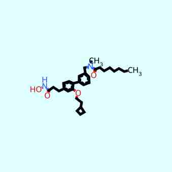 CCCCCCCC(=O)N(C)Cc1cccc(-c2ccc(CCC(=O)NO)cc2OCCC2CCC2)c1